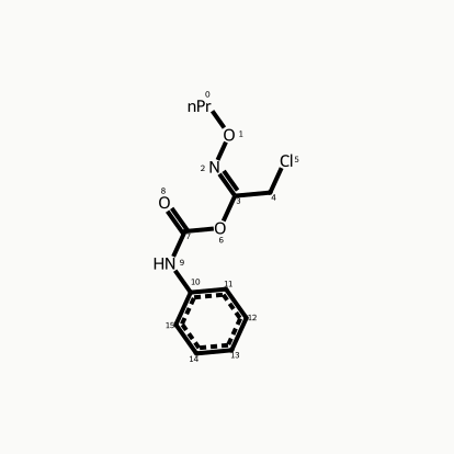 CCCON=C(CCl)OC(=O)Nc1ccccc1